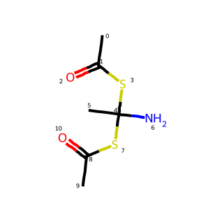 CC(=O)SC(C)(N)SC(C)=O